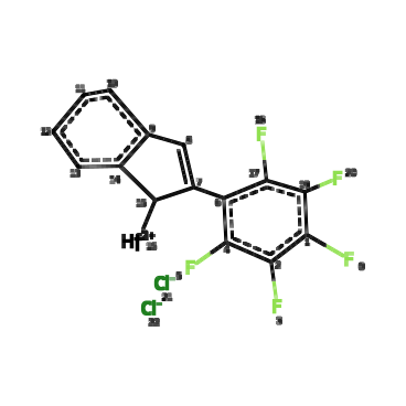 Fc1c(F)c(F)c(C2=Cc3ccccc3[CH]2[Hf+2])c(F)c1F.[Cl-].[Cl-]